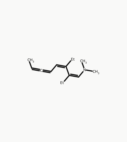 CC=C=C/C=C(CC)\C(=C/N(C)C)CC